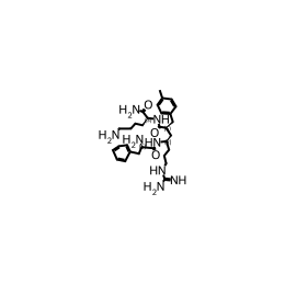 Cc1ccc(C[C@@H](C[C@@H](CCCNC(=N)N)NC(=O)[C@@H](N)Cc2ccccc2)C(=O)N[C@@H](CCCCN)C(N)=O)cc1